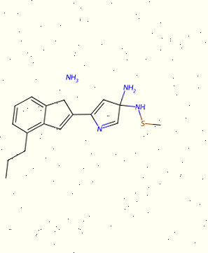 CCCc1cccc2c1C=C(C1=CC(N)(NSC)C=N1)C2.N